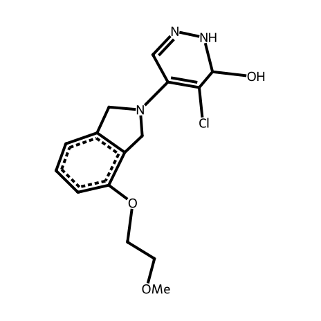 COCCOc1cccc2c1CN(C1=C(Cl)C(O)NN=C1)C2